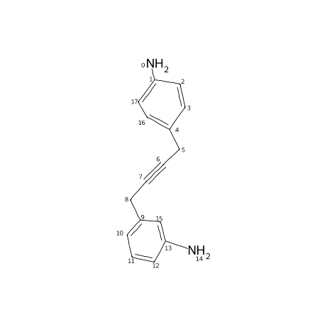 Nc1ccc(CC#CCc2cccc(N)c2)cc1